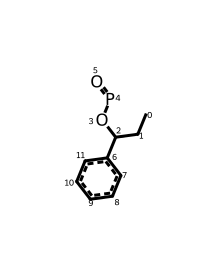 CCC(OP=O)c1ccccc1